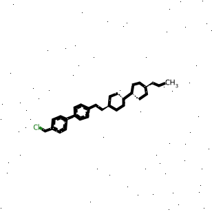 CCC[C@H]1CC[C@H]([C@H]2CC[C@H](CCc3ccc(-c4ccc(CCl)cc4)cc3)CC2)CC1